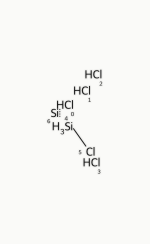 Cl.Cl.Cl.Cl.[SiH3]Cl.[Si]